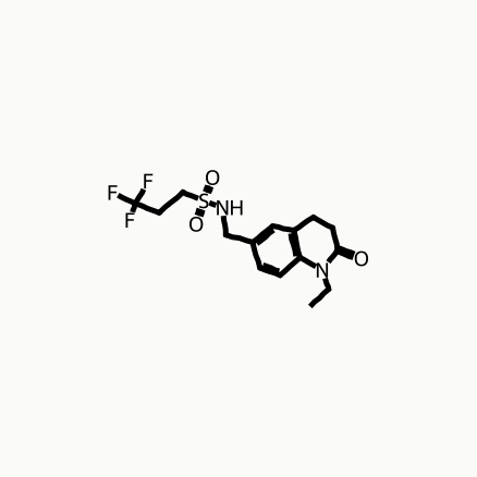 CCN1C(=O)CCc2cc(CNS(=O)(=O)CCC(F)(F)F)ccc21